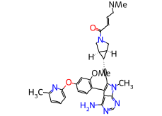 CNC/C=C/C(=O)N1C[C@@H]2[C@@H](C#Cc3c(-c4ccc(Oc5cccc(C)n5)cc4OC)c4c(N)ncnc4n3C)[C@@H]2C1